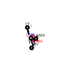 COc1cc(O)c2c3c1O[C@H]1[C@@H](NC(=O)C#Cc4ccc(C(F)(F)F)cc4)CC[C@H]4[C@@H](C2)[N+](CCc2ccccc2)(CC(C)C)CC[C@@]341